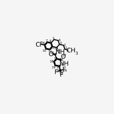 CCCC1CCc2cc(Cl)ccc2C1NC(=O)c1ccc(C(F)(F)F)[nH]c1=O